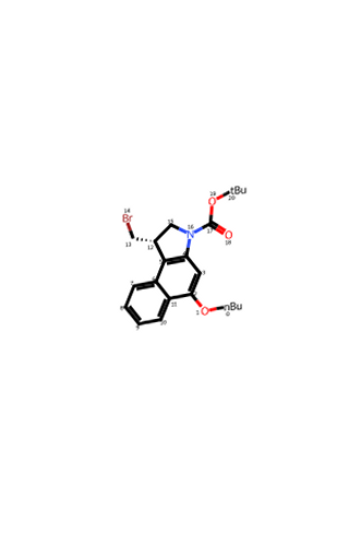 CCCCOc1cc2c(c3ccccc13)[C@H](CBr)CN2C(=O)OC(C)(C)C